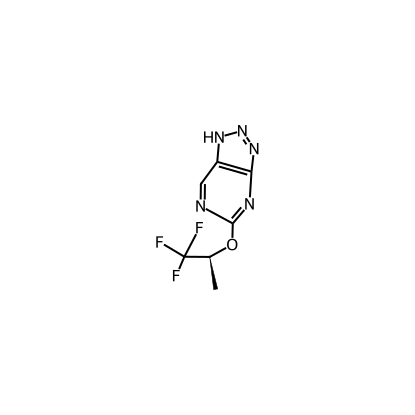 C[C@H](Oc1ncc2[nH]nnc2n1)C(F)(F)F